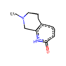 CCN1CCc2ccc(=O)[nH]c2C1